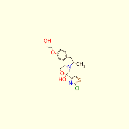 CC(Cc1ccc(OCCO)cc1)N1CCOC(O)(c2csc(Cl)n2)C1